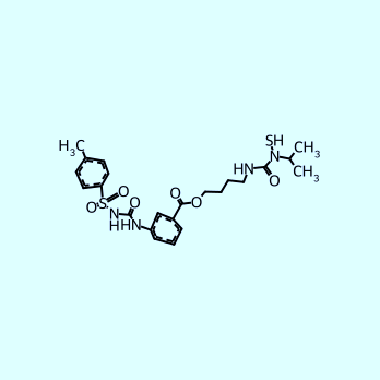 Cc1ccc(S(=O)(=O)NC(=O)Nc2cccc(C(=O)OCCCCNC(=O)N(S)C(C)C)c2)cc1